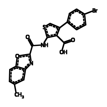 Cc1ccc2oc(C(=O)Nc3scc(-c4ccc(Br)cc4)c3C(=O)O)nc2c1